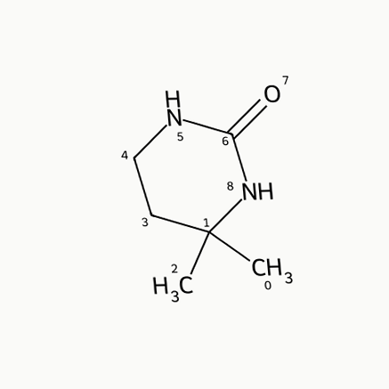 CC1(C)CCNC(=O)N1